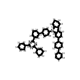 c1ccc(-c2ccc(-c3ccc4c5ccccc5n(-c5ccc(-c6cccc(-c7nc(-c8ccccc8)nc(-c8ccccc8)n7)c6)cc5)c4c3)cc2)cc1